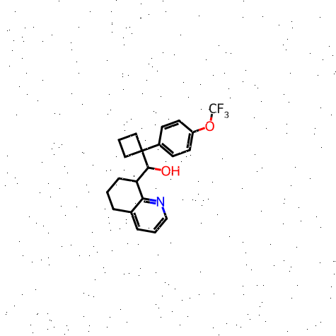 OC(C1CCCc2cccnc21)C1(c2ccc(OC(F)(F)F)cc2)CCC1